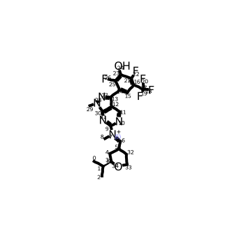 CC(C)[C@H]1CC(/C=[N+](\C)c2ncc3c(-c4cc(C(F)(F)F)c(F)c(O)c4F)nn(C)c3n2)CCO1